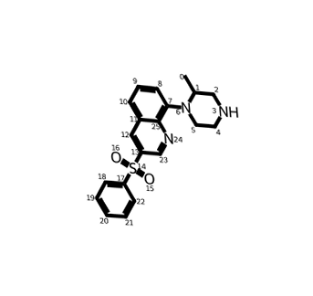 CC1CNCCN1c1cccc2cc(S(=O)(=O)c3ccccc3)cnc12